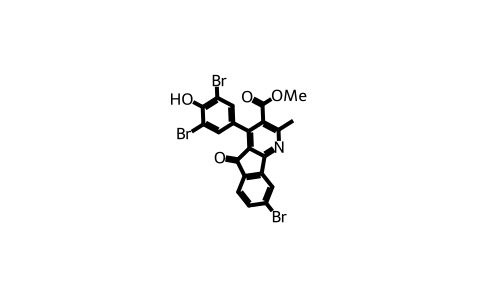 COC(=O)c1c(C)nc2c(c1-c1cc(Br)c(O)c(Br)c1)C(=O)c1ccc(Br)cc1-2